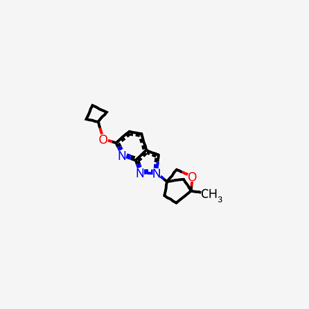 CC12CCC(n3cc4ccc(OC5CCC5)nc4n3)(CO1)C2